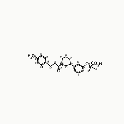 CC(C)(Oc1cccc([C@@H]2CCCN(C(=O)CCc3ccc(C(F)(F)F)cc3)C2)c1)C(=O)O